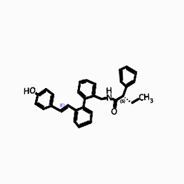 CC[C@H](C(=O)NCc1ccccc1-c1ccccc1/C=C/c1ccc(O)cc1)c1ccccc1